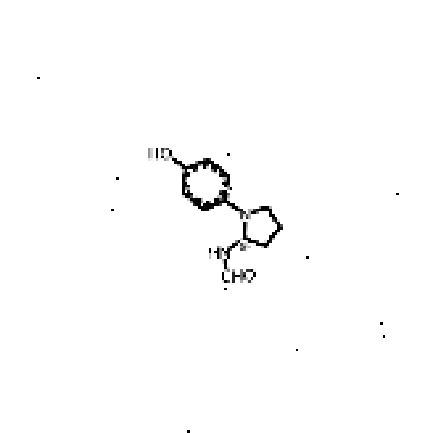 O=CN[C@@H]1CCCN1c1ccc(O)cc1